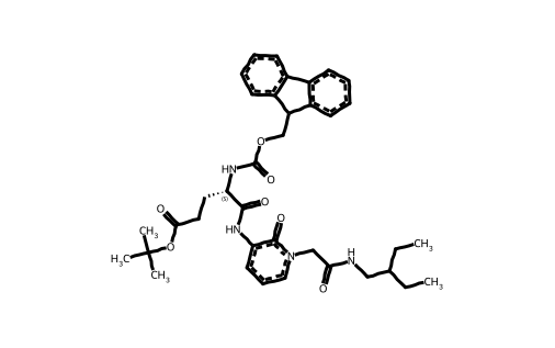 CCC(CC)CNC(=O)Cn1cccc(NC(=O)[C@H](CCC(=O)OC(C)(C)C)NC(=O)OCC2c3ccccc3-c3ccccc32)c1=O